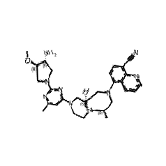 CO[C@@H]1CN(c2nc(C)cc(N3CCN4[C@@H](C3)CN(c3ccc(C#N)c5ncccc35)C[C@H]4C)n2)C[C@H]1N